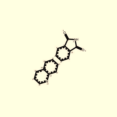 O=C1NC(=O)c2ccccc21.c1ccc2ncccc2c1